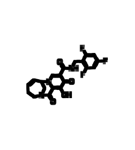 O=C(NCc1c(F)cc(F)cc1F)c1cn2c(c(O)c1=O)C(=O)N1CCC=CC2C1